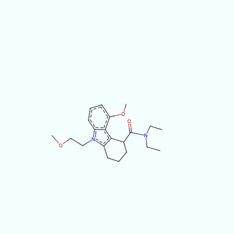 CCN(CC)C(=O)C1CCCc2c1c1c(OC)cccc1n2CCOC